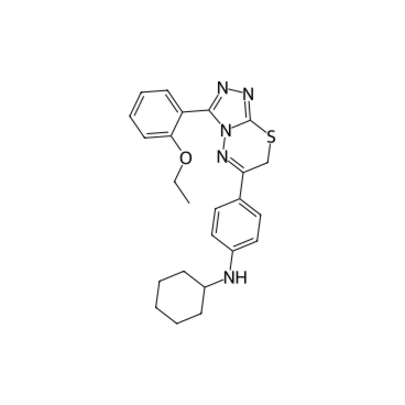 CCOc1ccccc1-c1nnc2n1N=C(c1ccc(NC3CCCCC3)cc1)CS2